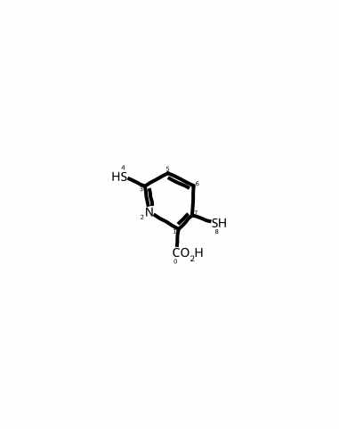 O=C(O)c1nc(S)ccc1S